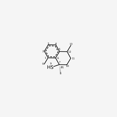 Cc1cccc2c1[C@](C)(S)CCC2C